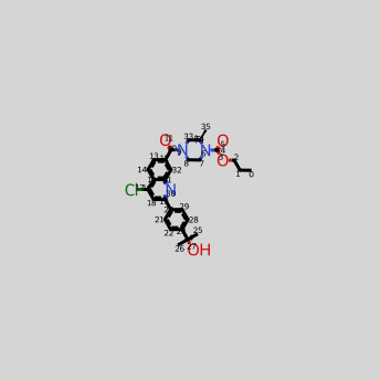 CCCOC(=O)N1CCN(C(=O)c2ccc3c(Cl)cc(-c4ccc(C(C)(C)O)cc4)nc3c2)C[C@H]1C